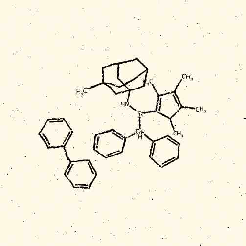 CC1=C(C)C(C)[C]([Ti]([NH]C23CC4CC(CC(C)(C4)C2)C3)[GeH]([c]2ccccc2)[c]2ccccc2)=C1C.c1ccc(-c2ccccc2)cc1